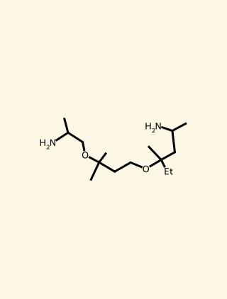 CCC(C)(CC(C)N)OCCC(C)(C)OCC(C)N